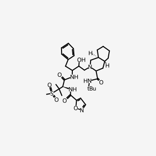 CC(C)(C)NC(=O)C1C[C@@H]2CCCC[C@@H]2CN1CC(O)C(Cc1ccccc1)NC(=O)[C@@H](NC(=O)c1ccno1)C(C)(C)S(C)(=O)=O